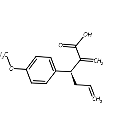 C=CC[C@H](C(=C)C(=O)O)c1ccc(OC)cc1